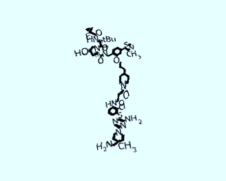 Cc1ncsc1-c1ccc(CNC(=O)[C@@H]2C[C@@H](O)CN2C(=O)[C@@H](NC(=O)C2(F)CC2)C(C)(C)C)c(OCCCC2CCN(C(=O)CC(=O)Nc3cccc(Sc4ncc(N5CCC(C)(CN)CC5)nc4N)c3Cl)CC2)c1